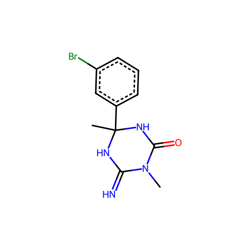 CN1C(=N)NC(C)(c2cccc(Br)c2)NC1=O